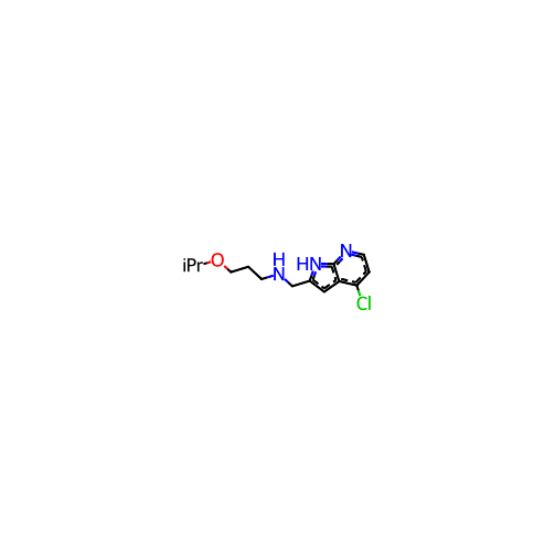 CC(C)OCCCNCc1cc2c(Cl)ccnc2[nH]1